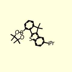 CC(C)c1ccc2sc3c(c2c1)C(C)(C)c1cccc(B2OC(C)(C)C(C)(C)O2)c1-3